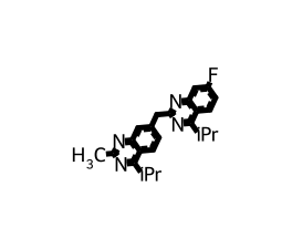 Cc1nc(C(C)C)c2ccc(Cc3nc(C(C)C)c4ccc(F)cc4n3)cc2n1